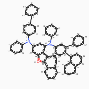 c1ccc(-c2ccc(N(c3ccccc3)c3cc(N(c4ccccc4)c4ccc(-c5cccc6ccccc56)c(-c5ccccc5)c4)c4c(c3)oc3c5ccccc5ccc34)cc2)cc1